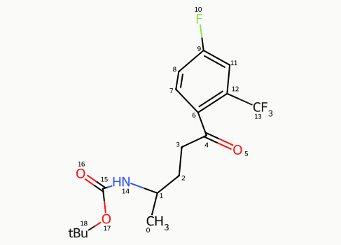 CC(CCC(=O)c1ccc(F)cc1C(F)(F)F)NC(=O)OC(C)(C)C